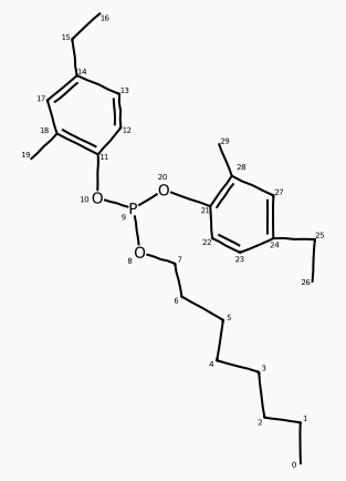 CCCCCCCCOP(Oc1ccc(CC)cc1C)Oc1ccc(CC)cc1C